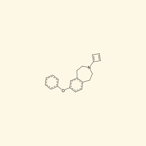 C1=CC(N2CCc3ccc(Oc4ccccc4)cc3CC2)=C1